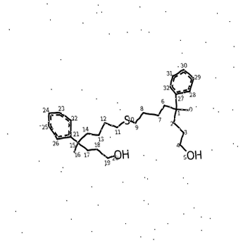 CC(CCCO)(CCCCSCCCCC(C)(CCCO)c1ccccc1)c1ccccc1